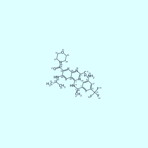 Cc1nc(N[C@H](C)c2cc(N)cc(C(F)(F)F)c2)c2cc(NC(C)C)c(C(=O)N3CCOCC3)cc2n1